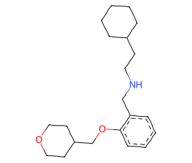 c1ccc(OCC2CCOCC2)c(CNCCC2CCCCC2)c1